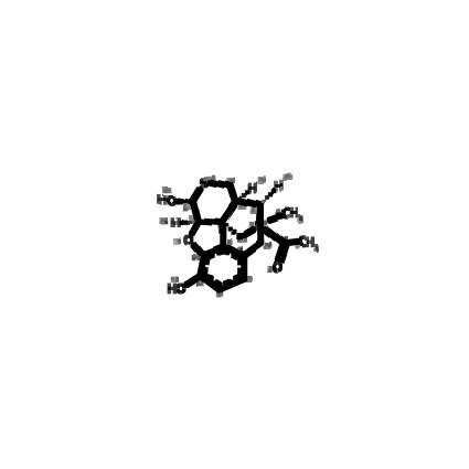 CC(=O)[N+]1(C)CC[C@]23c4c5ccc(O)c4O[C@H]2[C@@H](O)SC[C@H]3[C@H]1C5